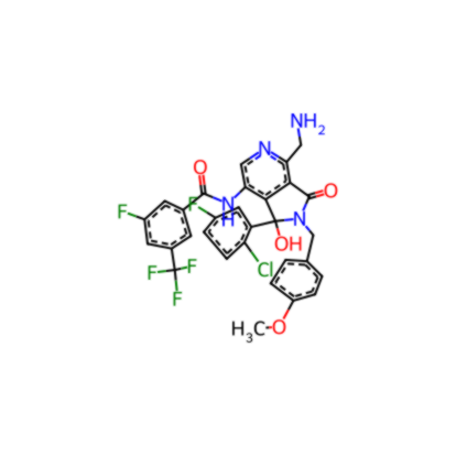 COc1ccc(CN2C(=O)c3c(CN)ncc(NC(=O)c4cc(F)cc(C(F)(F)F)c4)c3C2(O)c2cc(F)ccc2Cl)cc1